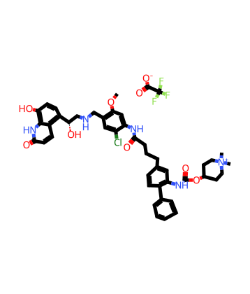 COc1cc(NC(=O)CCCc2ccc(-c3ccccc3)c(NC(=O)OC3CC[N+](C)(C)CC3)c2)c(Cl)cc1CNC[C@H](O)c1ccc(O)c2[nH]c(=O)ccc12.O=C([O-])C(F)(F)F